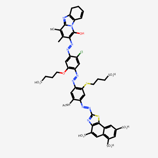 CC(=O)Nc1cc(N=Nc2cc(Cl)c(N=Nc3c(C)c(C#N)c4nc5c(n4c3O)C=CCC5)cc2OCCCS(=O)(=O)O)c(SCCCS(=O)(=O)O)cc1N=Nc1nc2c(S(=O)(=O)O)cc3c(S(=O)(=O)O)cc(S(=O)(=O)O)cc3c2s1